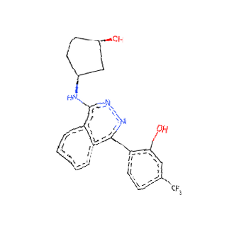 Oc1cc(C(F)(F)F)ccc1-c1nnc(N[C@H]2CC[C@@H](O)C2)c2ccccc12